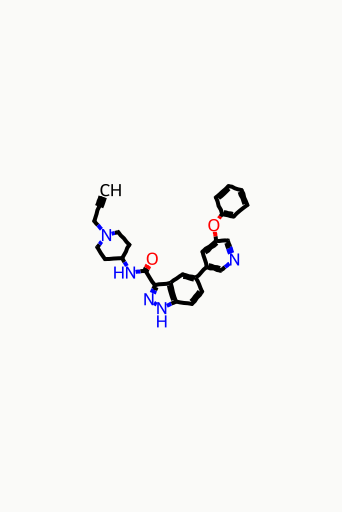 C#CCN1CCC(NC(=O)c2n[nH]c3ccc(-c4cncc(Oc5ccccc5)c4)cc23)CC1